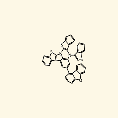 c1ccc2c(c1)oc1cccc(-c3cc4c5c(c3)N(c3csc6ccccc36)c3c(sc6ccccc36)B5c3sc5ccccc5c3-4)c12